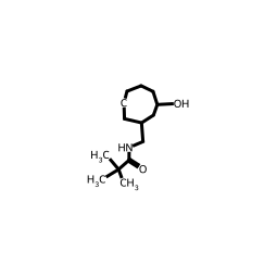 CC(C)(C)C(=O)NCC1CCCCCC(O)C1